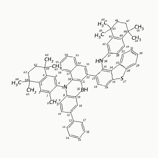 Cc1cc2c(cc1N1c3ccc(-c4ccccc4)cc3Bc3c(-c4ccc5sc6ccccc6c5c4Nc4ccc5c(c4)C(C)(C)CCC5(C)C)cc4ccccc4c31)C(C)(C)CCC2(C)C